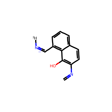 [2H]/N=C\c1cccc2ccc(N=C)c(O)c12